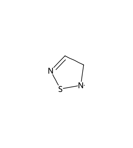 C1=NS[N]C1